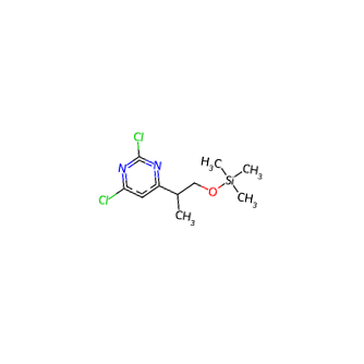 CC(CO[Si](C)(C)C)c1cc(Cl)nc(Cl)n1